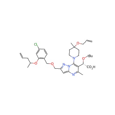 C=CCOC1(C)CCN(c2c([C@H](OC(C)(C)C)C(=O)O)c(C)nc3cc(COCc4ccc(Cl)cc4OC(C)CC=C)nn23)CC1